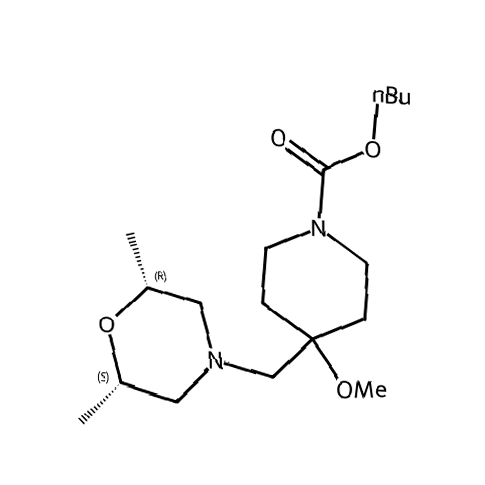 CCCCOC(=O)N1CCC(CN2C[C@@H](C)O[C@@H](C)C2)(OC)CC1